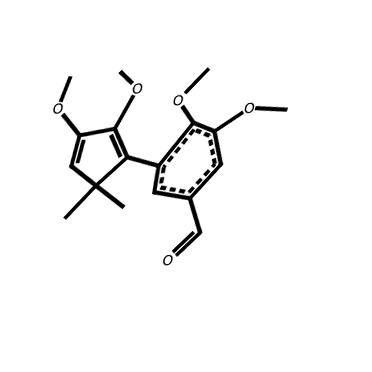 COC1=CC(C)(C)C(c2cc(C=O)cc(OC)c2OC)=C1OC